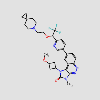 COC1CC(n2c(=O)n(C)c3nnc4ccc(-c5ccc(C(OCCN6CCC7(CC6)CC7)C(F)(F)F)nc5)cc4c32)C1